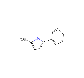 CC(C)(C)C1=CC=C(c2ccccc2)[N]1